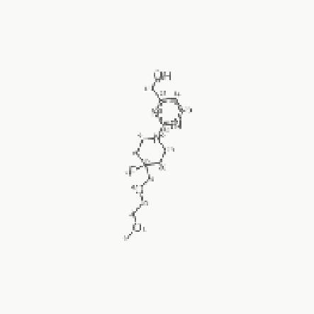 COCCOCC1(F)CCN(c2nccc(CO)n2)CC1